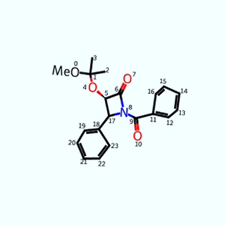 COC(C)(C)O[C@H]1C(=O)N(C(=O)c2ccccc2)C1c1ccccc1